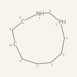 C1CCCCPCNCCC1